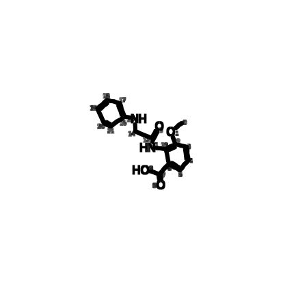 COc1cccc(C(=O)O)c1NC(=O)CNc1ccccc1